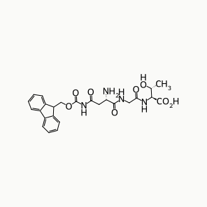 C[C@@H](O)[C@H](NC(=O)CNC(=O)[C@@H](N)CC(=O)NC(=O)OCC1c2ccccc2-c2ccccc21)C(=O)O